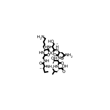 CC[C@H](C)[C@H](N)C(=O)NCC(=O)N[C@@H](CCCCN)C(=O)N[C@H](C(=O)N[C@@H](CC(N)=O)C(=O)N[C@H](C(=O)N[C@@H](CC(C)C)C(=O)O)[C@@H](C)O)[C@@H](C)O